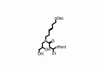 CCCCCCCCCCCCC=CCCN(CC(O)CO)C(=O)CC(CC)CCCCC